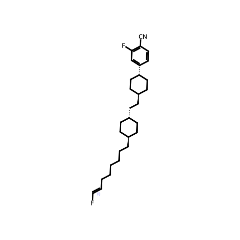 N#Cc1ccc([C@H]2CC[C@H](CC[C@H]3CC[C@H](CCCCCC/C=C/F)CC3)CC2)cc1F